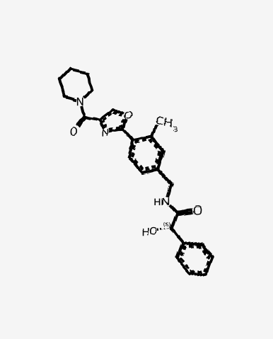 Cc1cc(CNC(=O)[C@@H](O)c2ccccc2)ccc1-c1nc(C(=O)N2CCCCC2)co1